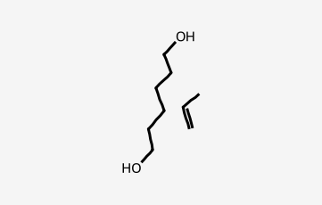 C=CC.OCCCCCCO